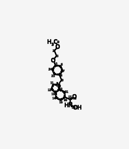 COCCOc1ccc(Cn2ccc3ccc(C(=O)NO)cc32)cc1